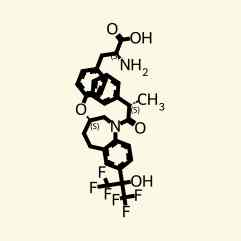 C[C@H](C(=O)N1C[C@@H](Oc2ccc(C[C@H](N)C(=O)O)cc2)CCc2cc(C(O)(C(F)(F)F)C(F)(F)F)ccc21)c1ccccc1